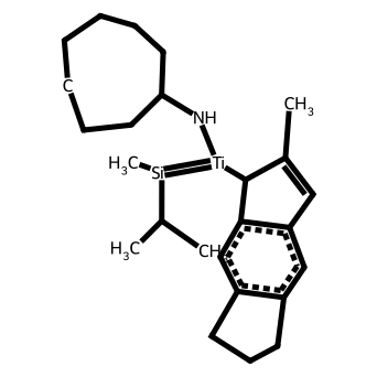 CC1=Cc2cc3c(cc2[CH]1[Ti]([NH]C1CCCCCCC1)=[Si](C)C(C)C)CCC3